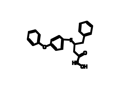 O=C(CC(Cc1ccccc1)Sc1ccc(Oc2ccccc2)cc1)NO